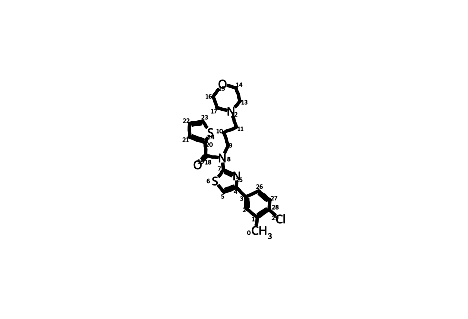 Cc1cc(-c2csc(N(CCCN3CCOCC3)C(=O)c3cccs3)n2)ccc1Cl